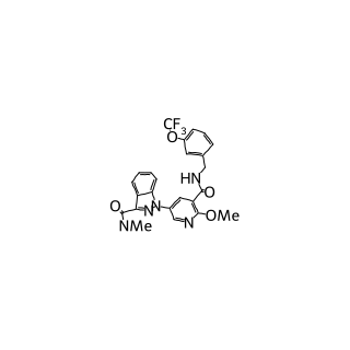 CNC(=O)c1nn(-c2cnc(OC)c(C(=O)NCc3cccc(OC(F)(F)F)c3)c2)c2ccccc12